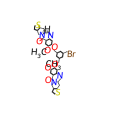 COc1cc2c(cc1OCc1cc(CBr)cc(COc3cc4c(cc3OC)C(=O)N3Cc5ccsc5C[C@H]3C=N4)c1)N=CC1Cc3sccc3CN1C2=O